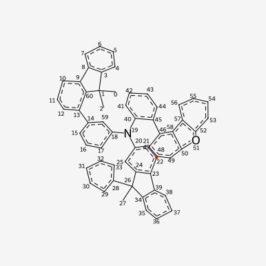 CC1(C)c2ccccc2-c2cccc(-c3cccc(N(c4ccc5c(c4)C(C)(c4ccccc4)c4ccccc4-5)c4ccccc4-c4cccc5oc6ccccc6c45)c3)c21